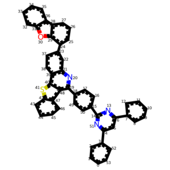 c1ccc(-c2cc(-c3ccccc3)nc(-c3ccc(-c4nc5cc(-c6cccc7c6oc6ccccc67)ccc5c5sc6ccccc6c45)cc3)n2)cc1